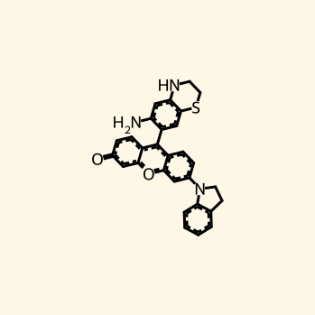 Nc1cc2c(cc1-c1c3ccc(=O)cc-3oc3cc(N4CCc5ccccc54)ccc13)SCCN2